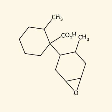 CC1CC2OC2CC1C1(C(=O)O)CCCCC1C